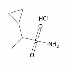 CC(C1CC1)S(N)(=O)=O.Cl